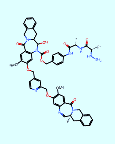 COc1cc2c(cc1OCc1ccnc(COc3cc4c(cc3OC)C(=O)N3Cc5ccccc5C[C@H]3C=N4)c1)N(C(=O)OCc1ccc(NC(=O)[C@H](C)NC(=O)[C@@H](NN)C(C)C)cc1)C(O)C1Cc3ccccc3CN1C2=O